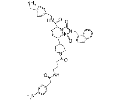 NCc1ccc(CNC(=O)C2C=CC(C3CCN(C(=O)CCCNC(=O)Cc4ccc(N)cc4)CC3)n3c(=O)n(Cc4cccc5ccccc45)c(=O)n32)cc1